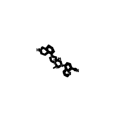 C[C@@H]1CN(c2ccc(C#N)c3ncccc23)C[C@@H]2CN(c3cccc4c3CCNC4)CCN21